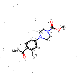 COC(=O)c1ccc(N2CCN(C(=O)OC(C)(C)C)C[C@H]2C)cc1C#N